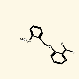 O=C(O)c1ccccc1COc1ccccc1C(F)F